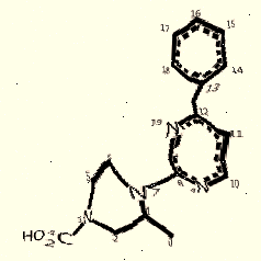 CC1CN(C(=O)O)CCN1c1nccc(-c2ccccc2)n1